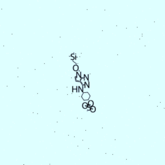 C[Si](C)(C)CCOCn1ccc2c(NC3CCC(OS(C)(=O)=O)CC3)ncnc21